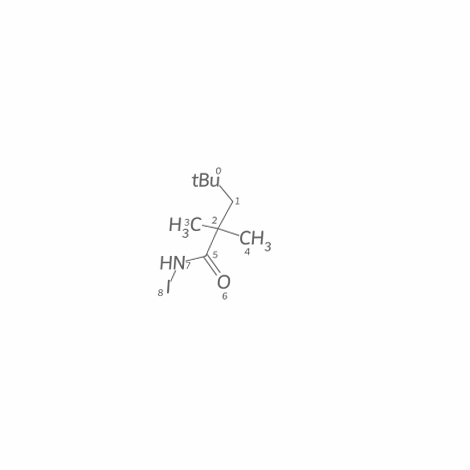 CC(C)(C)CC(C)(C)C(=O)NI